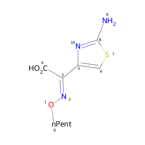 CCCCCON=C(C(=O)O)c1csc(N)n1